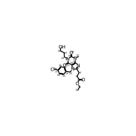 CCOC(=O)CCc1nc2c(c(=O)n(CCCO)c(=O)n2C)n1Cc1ccc(Cl)cc1